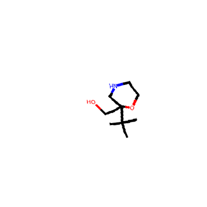 CC(C)(C)C1(CO)CNCCO1